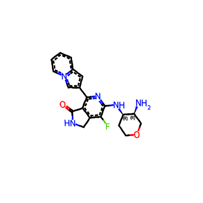 N[C@H]1COCC[C@H]1Nc1nc(-c2cc3ccccn3c2)c2c(c1F)CNC2=O